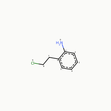 Nc1ccccc1CCCl